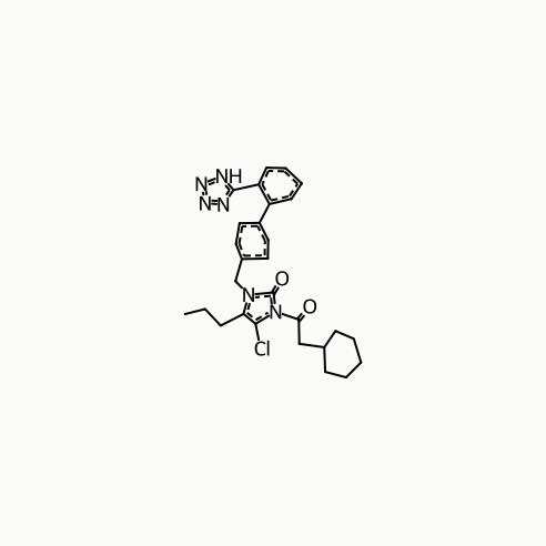 CCCc1c(Cl)n(C(=O)CC2CCCCC2)c(=O)n1Cc1ccc(-c2ccccc2-c2nnn[nH]2)cc1